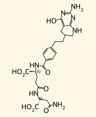 NC(=O)C[C@@H](NC(=O)CC[C@H](NC(=O)c1ccc(CCC2CNc3nc(N)nc(O)c3C2)cc1)C(=O)O)C(=O)O